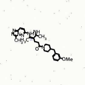 COc1cccc(CC2CCN(C(=O)CC/C(C(C)=N)=C(\C)Nc3ccc4nnc(C)n4n3)CC2)c1